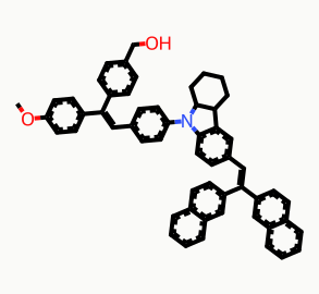 COc1ccc(/C(=C/c2ccc(N3c4ccc(C=C(c5ccc6ccccc6c5)c5ccc6ccccc6c5)cc4C4CCCCC43)cc2)c2ccc(CO)cc2)cc1